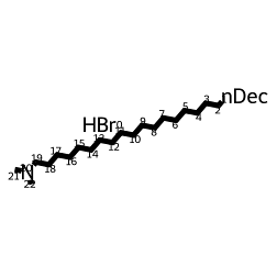 Br.CCCCCCCCCCCCCCCCCCCCCCCCCCCCN(C)C